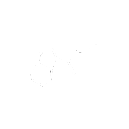 CCOC(=O)c1coc2ccccc12